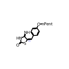 CCCCCOc1ccc(/C=C2/SC(=O)NC2=N)cc1